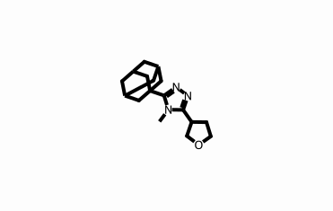 Cn1c(C2CCOC2)nnc1C12CC3CC(CC(C3)C1)C2